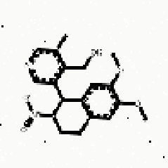 COc1cc2c(cc1OC)C(c1cncc(C)c1CO)C([N+](=O)[O-])CC2